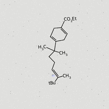 CCOC(=O)C1=CCC(C(C)(C)CC/C=C(\C)C(C)(C)C)=CC1